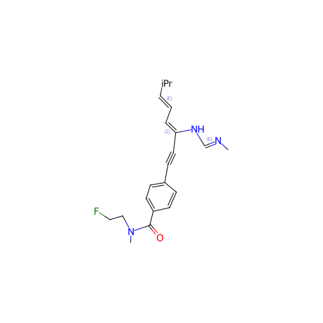 C/N=C/N/C(C#Cc1ccc(C(=O)N(C)CCF)cc1)=C\C=C\C(C)C